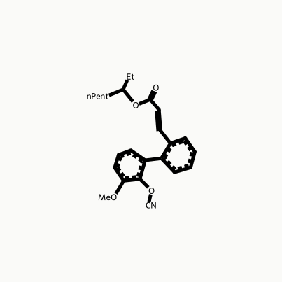 CCCCCC(CC)OC(=O)C=Cc1ccccc1-c1cccc(OC)c1OC#N